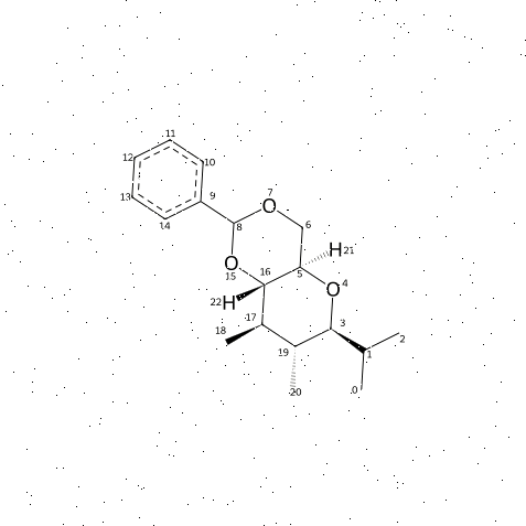 CC(C)[C@@H]1O[C@@H]2COC(c3ccccc3)O[C@H]2[C@H](C)[C@H]1C